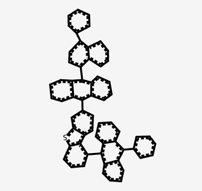 c1ccc(-c2ccc(-c3c4ccccc4c(-c4ccc5c(c4)sc4cccc(-c6c7ccccc7c(-c7ccccc7)c7ccccc67)c45)c4ccccc34)c3ccccc23)cc1